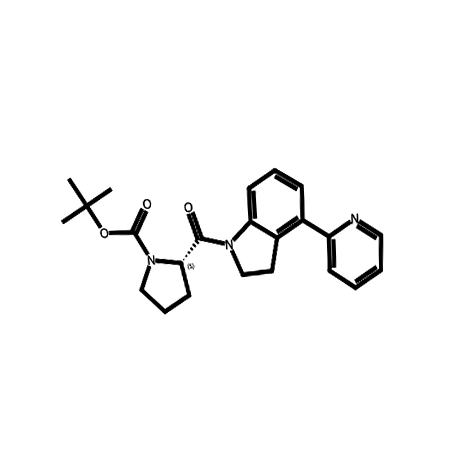 CC(C)(C)OC(=O)N1CCC[C@H]1C(=O)N1CCc2c(-c3ccccn3)cccc21